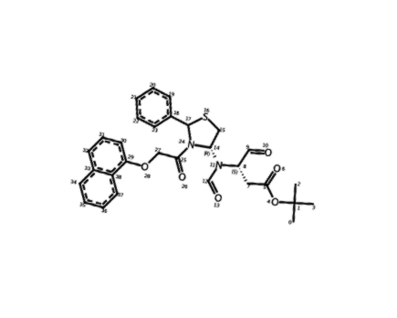 CC(C)(C)OC(=O)C[C@@H](C=O)N(C=O)[C@H]1CSC(c2ccccc2)N1C(=O)COc1cccc2ccccc12